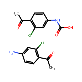 CC(=O)c1ccc(N)cc1Cl.CC(=O)c1ccc(NC(=O)O)cc1Cl